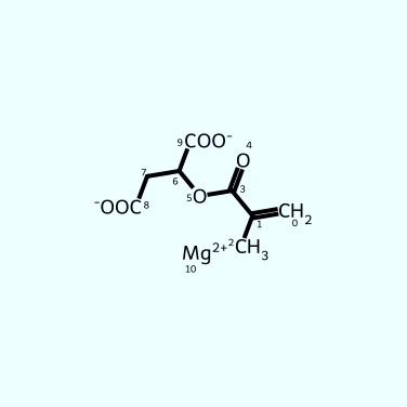 C=C(C)C(=O)OC(CC(=O)[O-])C(=O)[O-].[Mg+2]